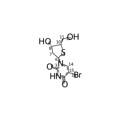 O=c1[nH]c(=O)n([C@H]2C[C@H](O)[C@@H](CO)S2)cc1Br